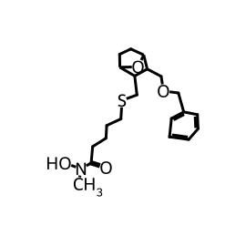 CN(O)C(=O)CCCCSCC1C2CCC(O2)C1COCc1ccccc1